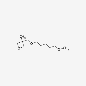 COCCCCCOCC1(C)COC1